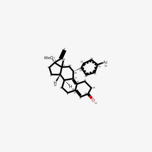 C#C[C@]1(OC)CC[C@H]2[C@@H]3CCC4=CC(=O)CCC4=C3[C@@H](c3ccc(C(C)=O)cc3)CC21C